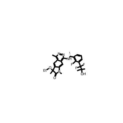 CCOC1(C)C(=O)N(C)c2cc3c(N[C@H](C)c4cccc(C(F)(F)C(C)(C)O)c4F)nnc(C)c3cc21